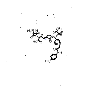 N[C@@H]1C(=O)N2C(C(=O)O)=C(/C=C3\CCN(Cc4cc[n+](CC(=O)Nc5ccc(O)cc5)cc4)C3=O)CS[C@H]12.O=C(O)C(F)(F)F